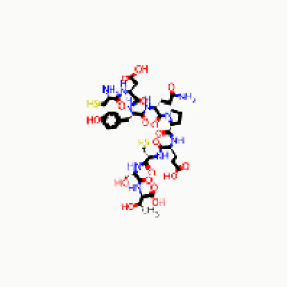 C[C@H](O)[C@@H](NC(=O)[C@H](CO)NC(=O)[C@H](CS)NC(=O)[C@H](CCC(=O)O)NC(=O)[C@H]1CCCN1C(=O)[C@@H](CCC(N)=O)NC(=O)[C@H](Cc1ccc(O)cc1)NC(=O)[C@H](CC(=O)O)NC(=O)[C@@H](N)CS)C(=O)O